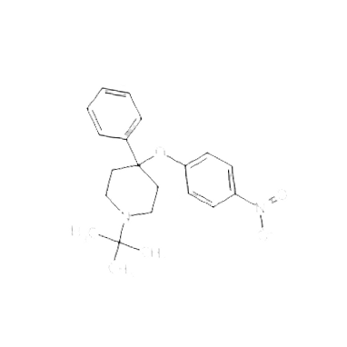 CC(C)(C)N1CCC(Oc2ccc([N+](=O)[O-])cc2)(c2ccccc2)CC1